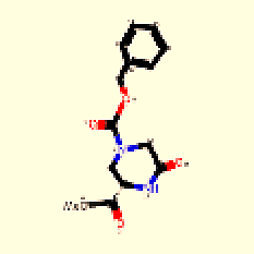 COC(=O)[C@@H]1CN(C(=O)OCc2ccccc2)CC(=O)N1